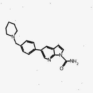 NC(=O)n1c[c]c2cc(-c3ccc(CN4CCCCC4)cc3)cnc21